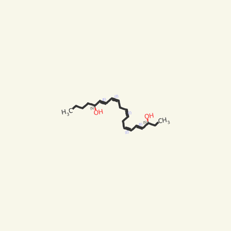 CCCC[C@H](O)/C=C/C=C\C/C=C\C/C=C\C=C\[C@@H](O)CC